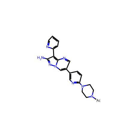 CC(=O)N1CCN(c2ccc(-c3cnc4c(-c5ccccn5)c(N)nn4c3)cn2)CC1